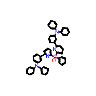 O=P(c1ccccc1)(c1cccc(-c2cccc(N(c3ccccc3)c3ccccc3)c2)n1)c1cccc(-c2cccc(N(c3ccccc3)c3ccccc3)c2)n1